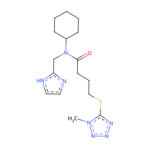 Cn1nnnc1SCCCC(=O)N(Cc1ncc[nH]1)C1CCCCC1